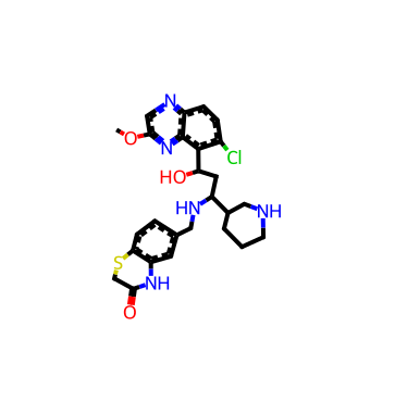 COc1cnc2ccc(Cl)c(C(O)CC(NCc3ccc4c(c3)NC(=O)CS4)C3CCCNC3)c2n1